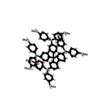 COc1ccc(N(c2ccc(OC)cc2)c2ccc3c(c2)-c2cc(N(c4ccc(OC)cc4)c4ccc(OC)cc4)ccc2C32c3cc(N(c4ccc(OC)cc4)c4ccc(OC)cc4)ccc3-c3ccc(N(c4ccc(OC)cc4)c4ccc(OC)cc4)cc32)cc1